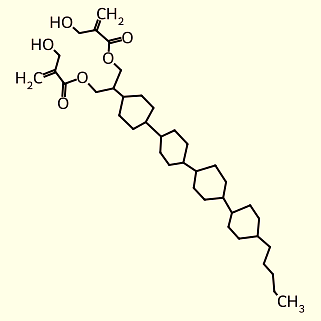 C=C(CO)C(=O)OCC(COC(=O)C(=C)CO)C1CCC(C2CCC(C3CCC(C4CCC(CCCCC)CC4)CC3)CC2)CC1